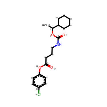 CC(=O)OC(OC(=O)NCCCC(=O)Oc1ccc(Cl)cc1)C1CCCCC1